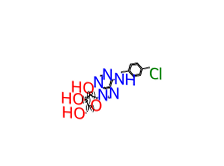 OC[C@H]1OC(n2cnc3c(NCc4ccc(CCl)cc4)ncnc32)[C@H](O)[C@@H]1O